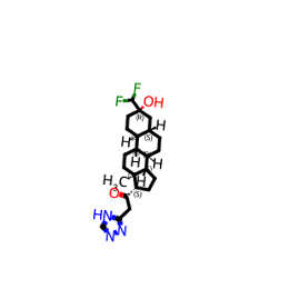 C[C@]12CC[C@H]3[C@@H](CC[C@H]4C[C@@](O)(C(F)F)CC[C@@H]43)[C@@H]1CC[C@@H]2C(=O)Cc1nnc[nH]1